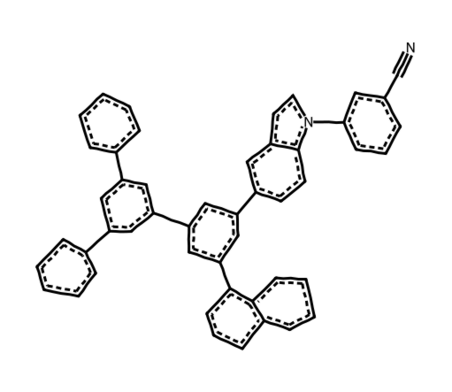 N#Cc1cccc(-n2ccc3cc(-c4cc(-c5cc(-c6ccccc6)cc(-c6ccccc6)c5)cc(-c5cccc6ccccc56)c4)ccc32)c1